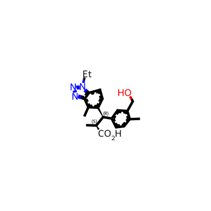 CCn1nnc2c(C)c([C@@H](c3ccc(C)c(CO)c3)[C@H](C)C(=O)O)ccc21